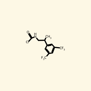 CC(CNC(=O)Cl)c1cc(C(F)(F)F)cc(C(F)(F)F)c1